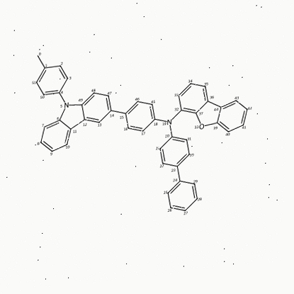 Cc1ccc(-n2c3ccccc3c3cc(-c4ccc(N(c5ccc(-c6ccccc6)cc5)c5cccc6c5oc5ccccc56)cc4)ccc32)cc1